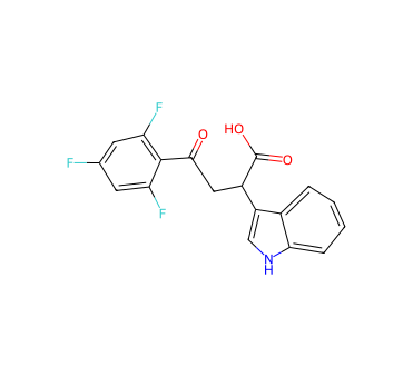 O=C(CC(C(=O)O)c1c[nH]c2ccccc12)c1c(F)cc(F)cc1F